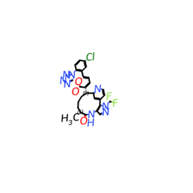 C[C@H]1CCC[C@H](c2ccc(-c3cc(Cl)ccc3-n3cnnn3)oc2=O)c2cc(ccn2)-c2c(cnn2C(F)F)NC1=O